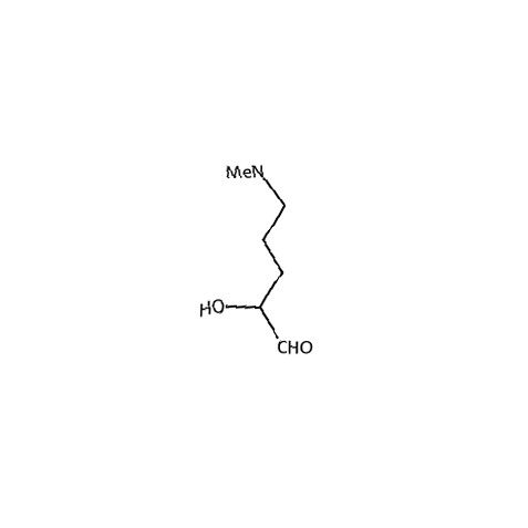 CNCCCC(O)C=O